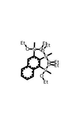 CCO[Si](C)(OCC)c1cc2ccccc2c([Si](C)(OCC)OCC)c1[Si](C)(OCC)OCC